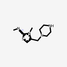 C/N=c1\scc(CN2CCNCC2)n1C